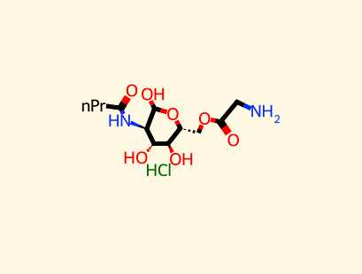 CCCC(=O)N[C@H]1C(O)O[C@H](COC(=O)CN)[C@@H](O)[C@@H]1O.Cl